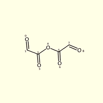 O=CC(=O)OC(=O)C=O